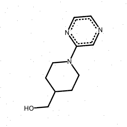 OCC1CCN(c2cnccn2)CC1